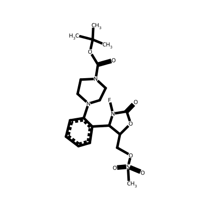 CC(C)(C)OC(=O)N1CCN(c2ccccc2C2C(COS(C)(=O)=O)OC(=O)N2F)CC1